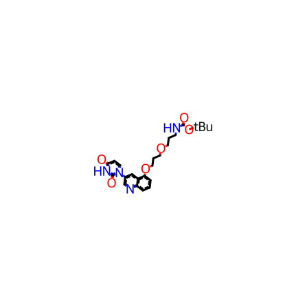 CC(C)(C)OC(=O)NCCCOCCCOc1cccc2ncc(-n3ccc(=O)[nH]c3=O)cc12